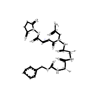 C[C@H](NC(=O)OCc1ccccc1)C(=O)N[C@@H](C)C(=O)NN(CC(N)=O)C(=O)/C=C/C(=O)ON1C(=O)CCC1=O